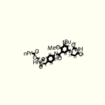 CCCC(=O)OCNS(=O)(=O)Cc1ccc(NC(=O)c2cc(N3CCC(=O)NC3=O)cc(C(C)(C)C)c2OC)cc1